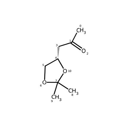 CC(=O)C[C@H]1COC(C)(C)O1